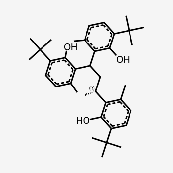 Cc1ccc(C(C)(C)C)c(O)c1C(C[C@@H](C)c1c(C)ccc(C(C)(C)C)c1O)c1c(C)ccc(C(C)(C)C)c1O